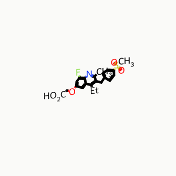 CCc1c(Cc2ccc(S(C)(=O)=O)cc2)c(C)nc2c(F)cc(OCC(=O)O)cc12